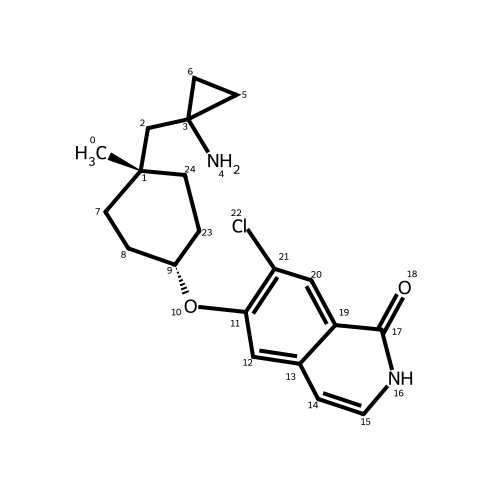 C[C@]1(CC2(N)CC2)CC[C@@H](Oc2cc3cc[nH]c(=O)c3cc2Cl)CC1